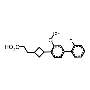 CC(C)Oc1cc(-c2ccccc2F)ccc1C1CC(CCC(=O)O)C1